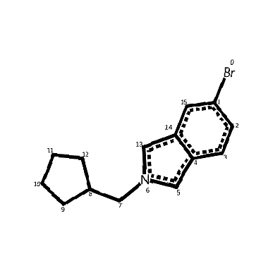 Brc1ccc2cn(CC3CCCC3)cc2c1